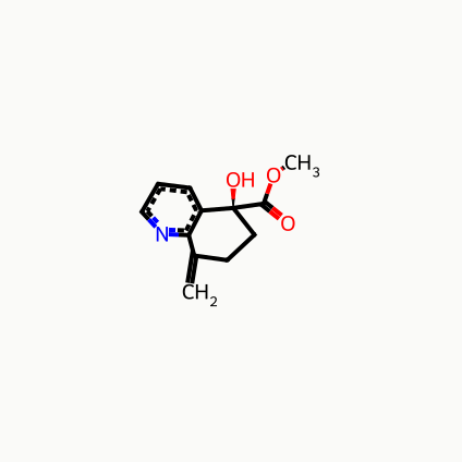 C=C1CC[C@@](O)(C(=O)OC)c2cccnc21